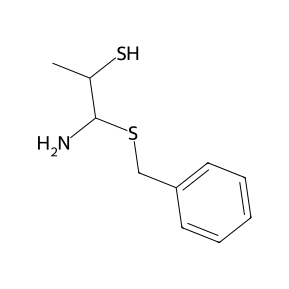 CC(S)C(N)SCc1ccccc1